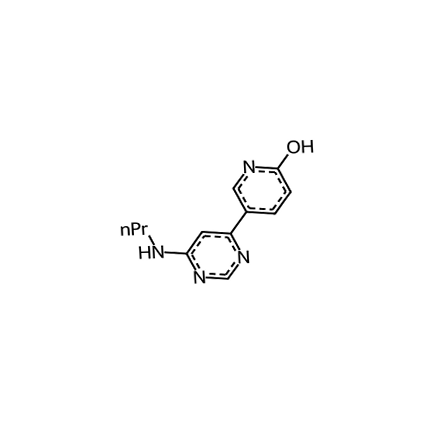 CCCNc1cc(-c2ccc(O)nc2)ncn1